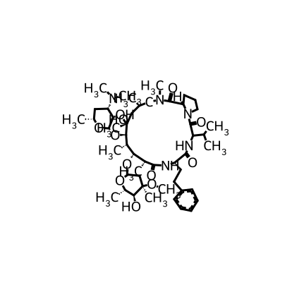 CO[C@]1(C)C[C@H](O[C@@H]2[C@H](C)[C@@H](O[C@@H]3O[C@H](C)C[C@H](N(C)C)[C@H]3O)[C@](C)(O)C[C@@H](C)CN(C)C(=O)[C@@H]3CCCN3C(=O)C(C(C)C)NC(=O)[C@@H](CCc3ccccc3)NC(=O)[C@@H]2C)O[C@@H](C)[C@@H]1O